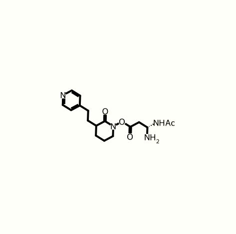 CC(=O)N[C@H](N)CC(=O)ON1CCCC(CCc2ccncc2)C1=O